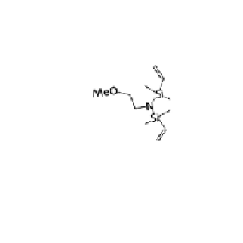 C=C[Si](C)(C)N(CCOC)[Si](C)(C)C=C